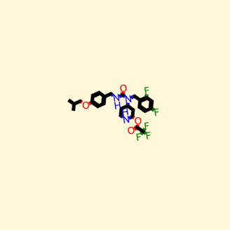 CC(C)COc1ccc(CNC(=O)N(Cc2ccc(F)cc2F)C2CCNC(OC(=O)C(F)(F)F)C2)cc1